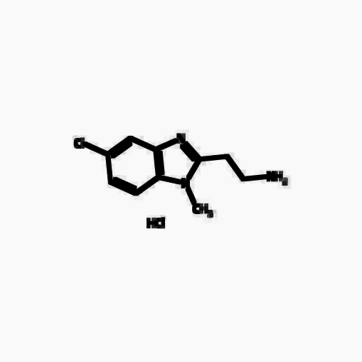 Cl.Cn1c(CCN)nc2cc(Cl)ccc21